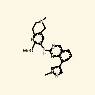 COc1nc2c(cc1Nc1ncc3cccc(-c4cnn(C)c4)c3n1)CN(C)CC2